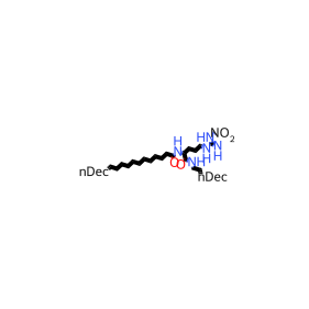 CCCCCCCCCCCCCCCCCCCCCC(=O)NC(CCCNC(=N)N[N+](=O)[O-])C(=O)NCCCCCCCCCCCC